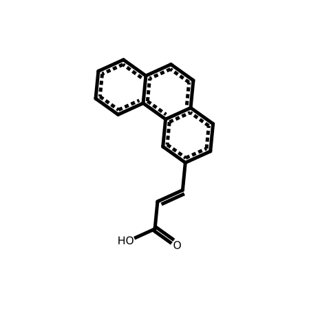 O=C(O)C=Cc1ccc2ccc3ccccc3c2c1